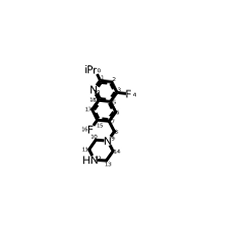 CC(C)c1cc(F)c2cc(CN3CCNCC3)c(F)cc2n1